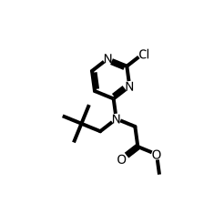 COC(=O)CN(CC(C)(C)C)c1ccnc(Cl)n1